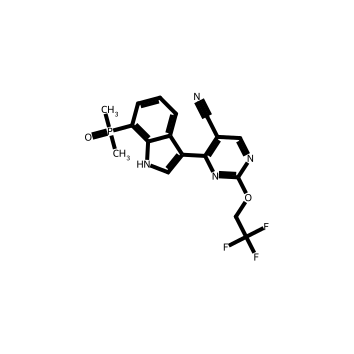 CP(C)(=O)c1cccc2c(-c3nc(OCC(F)(F)F)ncc3C#N)c[nH]c12